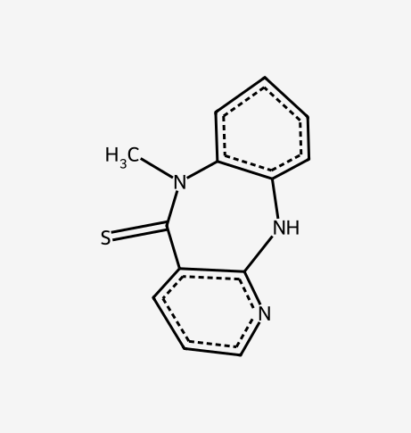 CN1C(=S)c2cccnc2Nc2ccccc21